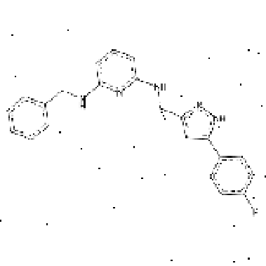 Fc1ccc(-c2cc(CNc3cccc(NCc4ccccc4)n3)n[nH]2)cc1